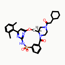 Cc1cccc(C)c1-c1cc2nc(n1)NS(=O)(=O)c1cccc(c1)C(=O)N1CCN(C(=O)CC3CCCCC3)C[C@@H]1CO2